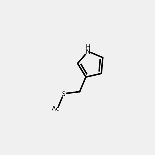 CC(=O)SCc1cc[nH]c1